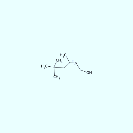 C/C(CC(C)(C)C)=N/CO